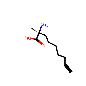 C#CCCCCC[C@](C)(N)C(=O)O